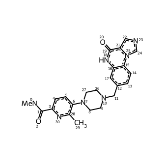 CNC(=O)c1ccc(N2CCN(Cc3ccc4c(c3)[nH]c(=O)c3cncn34)CC2)c(C)n1